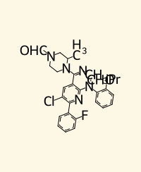 C/N=C(\c1cc(Cl)c(-c2ccccc2F)nc1N(C=O)c1ccccc1C(C)C)N1CCN(C=O)CC1C